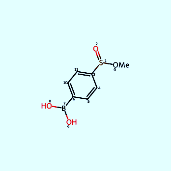 COS(=O)c1ccc(B(O)O)cc1